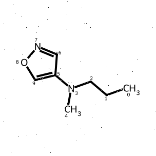 CCCN(C)c1[c]noc1